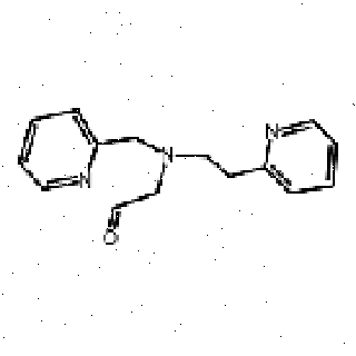 O=CCN(CCc1ccccn1)Cc1ccccn1